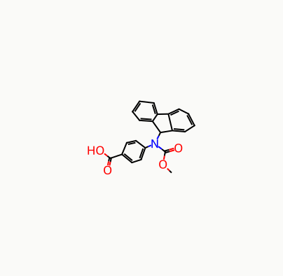 COC(=O)N(c1ccc(C(=O)O)cc1)C1c2ccccc2-c2ccccc21